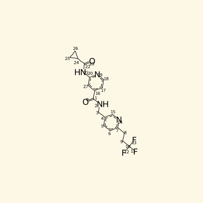 O=C(NCc1ccc(CCC(F)(F)F)nc1)c1ccnc(NC(=O)C2CC2)c1